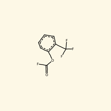 O=C(F)Oc1ccccc1C(F)(F)F